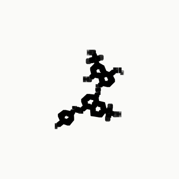 Nc1ccc(N=Nc2ccc(N=Nc3ccc(F)cc3)c3ccc(S(=O)(=O)O)cc23)c2c(O)cc(S(=O)(=O)O)cc12